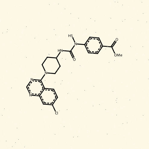 COC(=O)c1ccc(N(S)C(=O)NC2CCN(c3ncnc4cc(Cl)ccc34)CC2)cc1